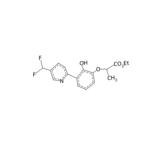 CCOC(=O)C(C)Oc1cccc(-c2ccc(C(F)F)cn2)c1O